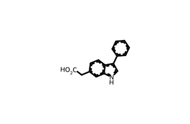 O=C(O)Cc1ccc2c(-c3ccccc3)c[nH]c2c1